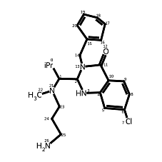 CC(C)C(C1Nc2cc(Cl)ccc2C(=O)N1Cc1ccccc1)N(C)CCCN